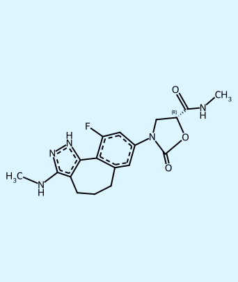 CNC(=O)[C@H]1CN(c2cc(F)c3c(c2)CCCc2c(NC)n[nH]c2-3)C(=O)O1